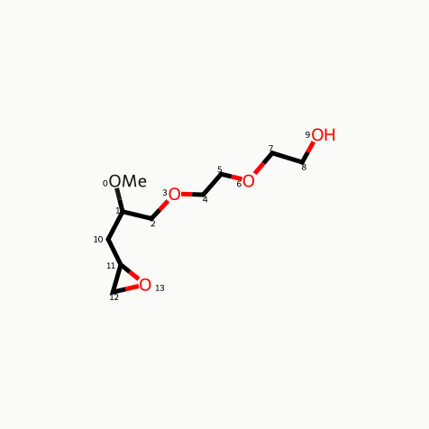 COC(COCCOCCO)CC1CO1